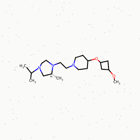 COC1CC(OC2CCN(CCN3CCN(C(C)C)C[C@H]3C)CC2)C1